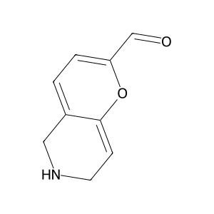 O=CC1=CC=C2CNCC=C2O1